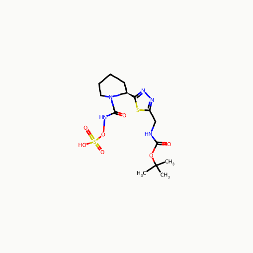 CC(C)(C)OC(=O)NCc1nnc([C@@H]2CCCCN2C(=O)NOS(=O)(=O)O)s1